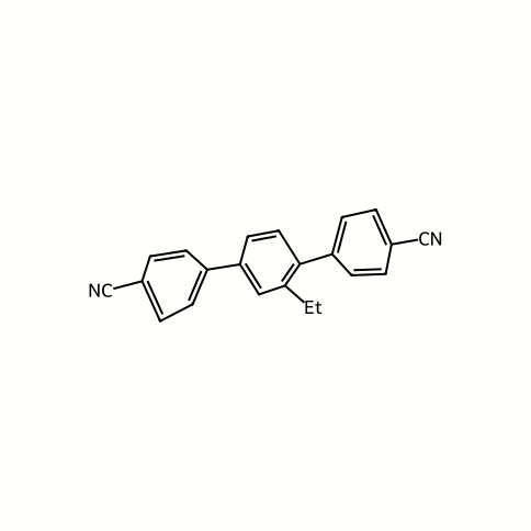 CCc1cc(-c2ccc(C#N)cc2)ccc1-c1ccc(C#N)cc1